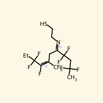 CCC(F)(F)/C(F)=C(\C/C(=N\CCS)C(F)(F)CC(C)(F)F)C(F)(F)F